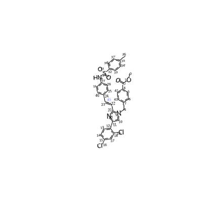 COC(=O)c1ccc(Cn2cc(-c3ccc(Cl)cc3Cl)nc2/C=C/c2ccc(NS(=O)(=O)c3ccc(C)cc3)cc2)cc1